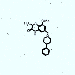 COc1cc(CN2CCC(c3ccccc3)CC2)cc2c1OC(C)C(=O)N2